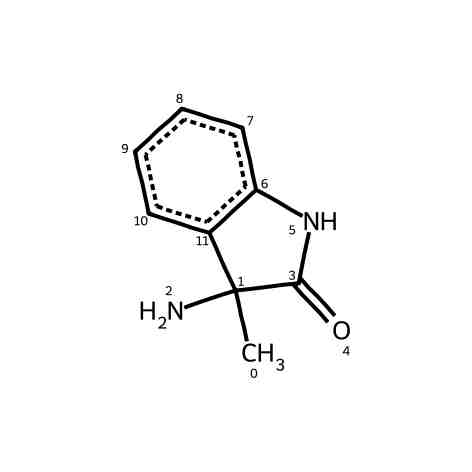 CC1(N)C(=O)Nc2ccccc21